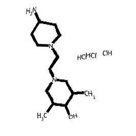 CC1CN(CCN2CCC(N)CC2)CC(C)C1O.Cl.Cl.Cl